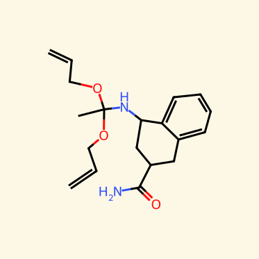 C=CCOC(C)(NC1CC(C(N)=O)Cc2ccccc21)OCC=C